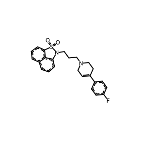 O=S1(=O)c2cccc3cccc(c23)N1CCCN1CC=C(c2ccc(F)cc2)CC1